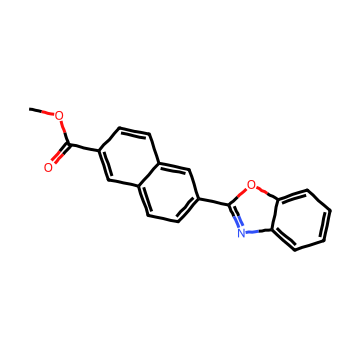 COC(=O)c1ccc2cc(-c3nc4ccccc4o3)ccc2c1